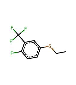 CCSc1ccc(F)c(C(F)(F)F)c1